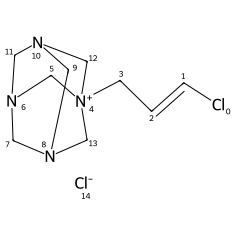 ClC=CC[N+]12CN3CN(CN(C3)C1)C2.[Cl-]